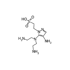 NCCN(CCN)c1c(N)cnn1CCS(=O)(=O)O